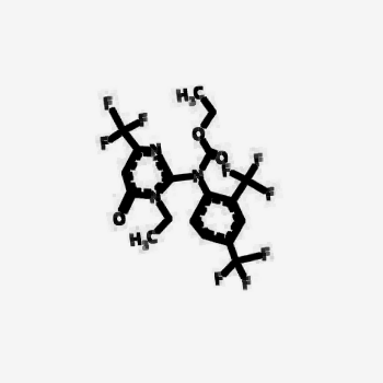 CCOC(=O)N(c1ccc(C(F)(F)F)cc1C(F)(F)F)c1nc(C(F)(F)F)cc(=O)n1CC